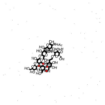 CC(=O)NC1C(O)[C@H](O)[C@H](CO)O[C@H]1OCCC1[C@@H](OCC2O[C@@H](O[C@@H]3C(CO)O[C@@H](O[C@@H]4C(CO)O[C@@H](C)C(NC(C)=O)[C@H]4O)C(NC(C)=O)[C@H]3O)C(O)[C@@H](O[C@H]3OC(CO)[C@@H](O)C(O)C3O[C@@H]3OC(CO)[C@@H](O)[C@H](O)C3NC(C)=O)[C@@H]2O)OC(CO)[C@@H](O)[C@@H]1O